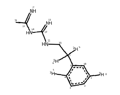 [2H]c1ccc([2H])c(C([2H])([2H])CNC(=N)NC(C)=N)c1